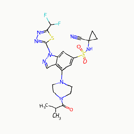 CC(C)C(=O)N1CCN(c2cc(S(=O)(=O)NC3(C#N)CC3)cc3c2cnn3-c2nnc(C(F)F)s2)CC1